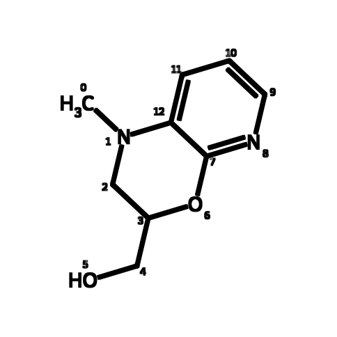 CN1CC(CO)Oc2ncccc21